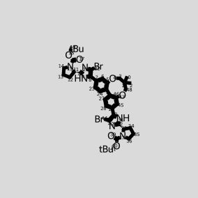 CC1(C)COc2cc(-c3[nH]c([C@@H]4CCCN4C(=O)OC(C)(C)C)nc3Br)ccc2-c2ccc(-c3[nH]c([C@@H]4CCCN4C(=O)OC(C)(C)C)nc3Br)cc2OC1